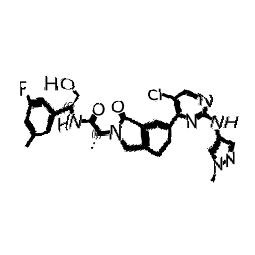 Cc1cc(F)cc([C@@H](CO)NC(=O)[C@@H](C)N2Cc3ccc(-c4nc(Nc5cnn(C)c5)ncc4Cl)cc3C2=O)c1